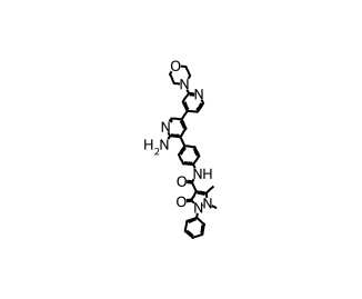 Cc1c(C(=O)Nc2ccc(-c3cc(-c4ccnc(N5CCOCC5)c4)cnc3N)cc2)c(=O)n(-c2ccccc2)n1C